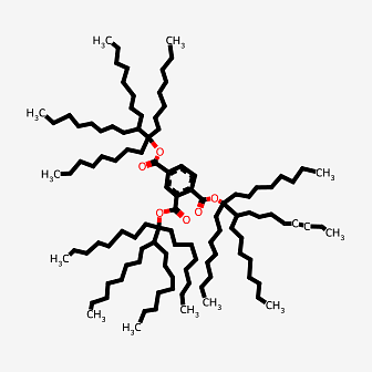 CCCCCCCCC(CCCCCCCC)C(CCCCCCCC)(CCCCCCCC)OC(=O)c1ccc(C(=O)OC(CCCCCCCC)(CCCCCCCC)C(CCCCCCCC)CCCCCCCC)c(C(=O)OC(CCCCCCCC)(CCCCCCCC)C(CCCCCCCC)CCCCCCCC)c1